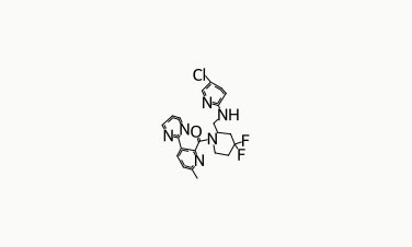 Cc1ccc(-c2ncccn2)c(C(=O)N2CCC(F)(F)CC2CNc2ccc(Cl)cn2)n1